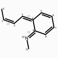 C\C=C/C=C1/C=CC=C/C1=N\C